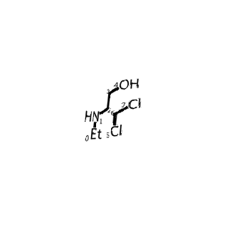 CCNCCO.ClCCl